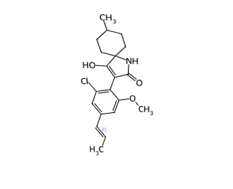 C/C=C/c1cc(Cl)c(C2=C(O)C3(CCC(C)CC3)NC2=O)c(OC)c1